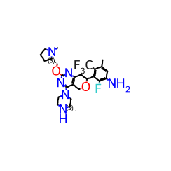 Cc1cc(N)c(F)c(C2Cc3nc(OC[C@@H]4CCCN4C)nc(N4CCN[C@@H](C)C4)c3CO2)c1C(F)(F)F